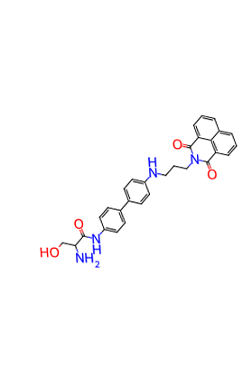 NC(CO)C(=O)Nc1ccc(-c2ccc(NCCCN3C(=O)c4cccc5cccc(c45)C3=O)cc2)cc1